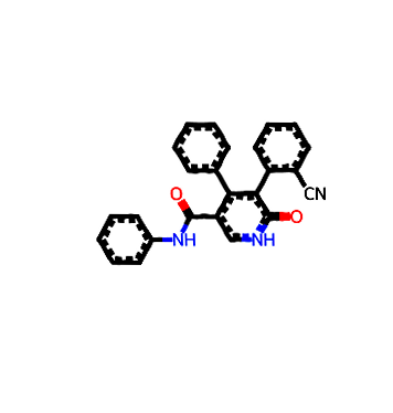 N#Cc1ccccc1-c1c(-c2ccccc2)c(C(=O)Nc2ccccc2)c[nH]c1=O